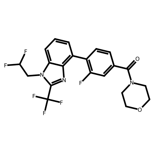 O=C(c1ccc(-c2cccc3c2nc(C(F)(F)F)n3CC(F)F)c(F)c1)N1CCOCC1